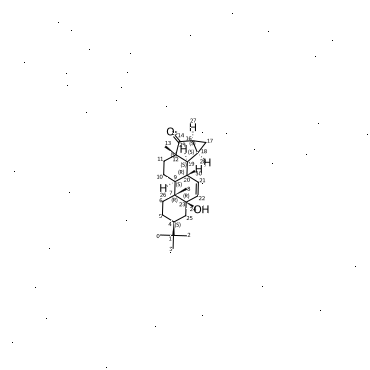 CC(C)(C)[C@H]1CC[C@]2(C)[C@H]3CC[C@]4(C)C(=O)[C@H]5C[C@H]5[C@H]4[C@@H]3C=C[C@]2(O)C1